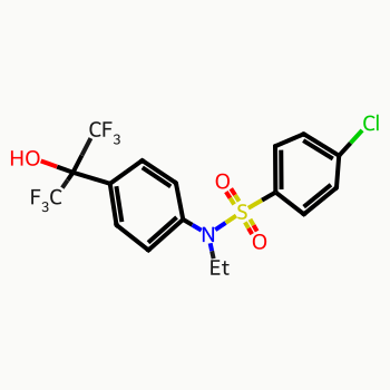 CCN(c1ccc(C(O)(C(F)(F)F)C(F)(F)F)cc1)S(=O)(=O)c1ccc(Cl)cc1